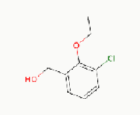 CCOc1c(Cl)cccc1CO